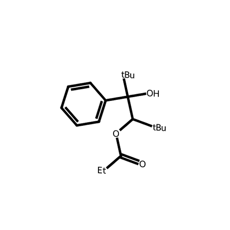 CCC(=O)OC(C(C)(C)C)C(O)(c1ccccc1)C(C)(C)C